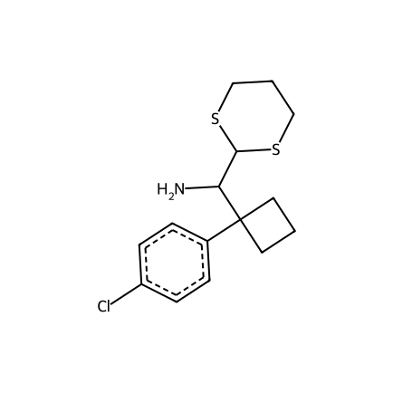 NC(C1SCCCS1)C1(c2ccc(Cl)cc2)CCC1